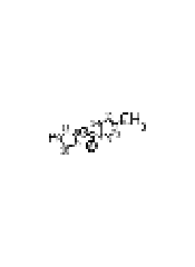 Cc1ccc(S(=O)OC2CCC(F)C2)cc1